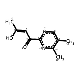 CC(O)=CC(=O)c1ncc(C)c(C)n1